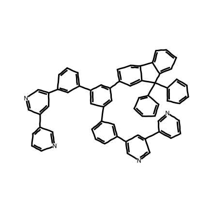 c1ccc(C2(c3ccccc3)c3ccccc3-c3ccc(-c4cc(-c5cccc(-c6cncc(-c7cccnc7)c6)c5)cc(-c5cccc(-c6cncc(-c7cccnc7)c6)c5)c4)cc32)cc1